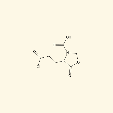 O=C(Cl)CCC1C(=O)OCN1C(=O)O